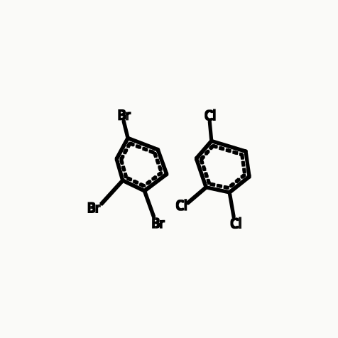 Brc1ccc(Br)c(Br)c1.Clc1ccc(Cl)c(Cl)c1